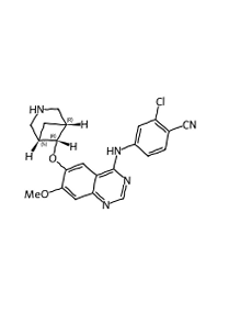 COc1cc2ncnc(Nc3ccc(C#N)c(Cl)c3)c2cc1O[C@@H]1[C@@H]2CNC[C@H]1C2